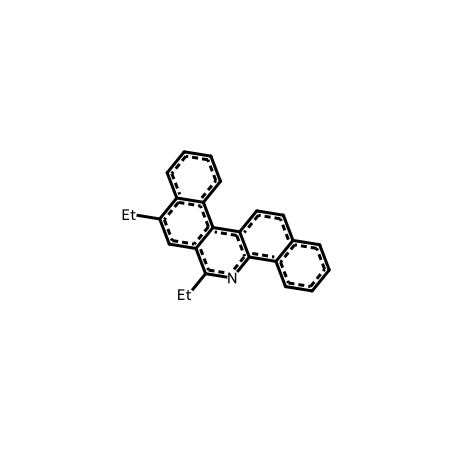 CCc1cc2c(CC)nc3c4ccccc4ccc3c2c2ccccc12